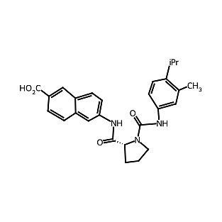 Cc1cc(NC(=O)N2CCC[C@@H]2C(=O)Nc2ccc3cc(C(=O)O)ccc3c2)ccc1C(C)C